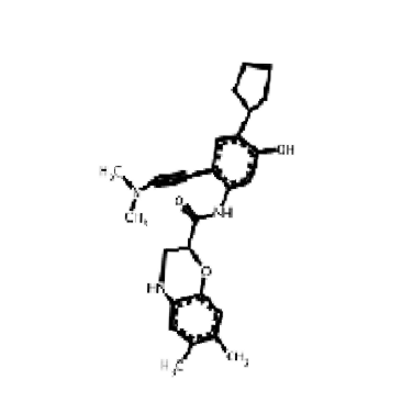 Cc1cc2c(cc1C)OC(C(=O)Nc1cc(O)c(C3CCCC3)cc1C#CN(C)C)CN2